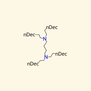 CCCCCCCCCCCCN(CCCCCCCCCCCC)CCCCN(CCCCCCCCCCCC)CCCCCCCCCCCC